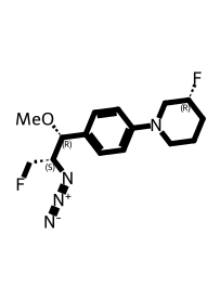 CO[C@H](c1ccc(N2CCC[C@@H](F)C2)cc1)[C@@H](CF)N=[N+]=[N-]